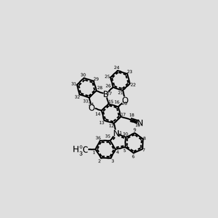 Cc1ccc2c3ccccc3n(-c3cc4c5c(c3C#N)Oc3ccccc3B5c3ccccc3O4)c2c1